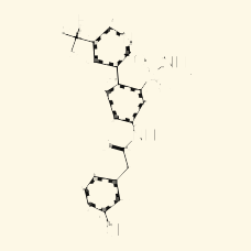 NS(=O)(=O)c1cc(NC(=O)Cc2cccc(Cl)c2)ccc1-c1cncc(C(F)(F)F)c1